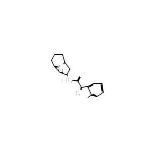 CN1C2CCCC1CC(NC(=O)c1noc3ccccc13)C2